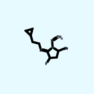 C=NN1/C(=N\CCC2CC2)C(F)CC1C(C)C